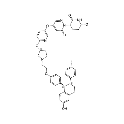 O=C1CCC(n2ncc(Oc3ccc(O[C@@H]4CCN(CCOc5ccc([C@@H]6c7ccc(O)cc7CC[C@@H]6c6ccc(F)cc6)cc5)C4)nc3)cc2=O)C(=O)N1